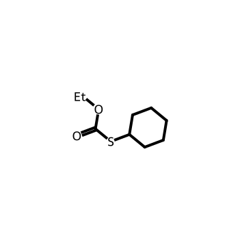 CCOC(=O)SC1CCCCC1